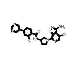 Nc1noc2c(N3CCC(NC(=O)c4ccc(-c5cncnc5)cc4Cl)C3)ncc(Cl)c12